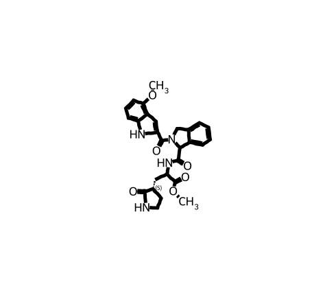 COC(=O)C(C[C@@H]1CCNC1=O)NC(=O)C1c2ccccc2CN1C(=O)c1cc2c(OC)cccc2[nH]1